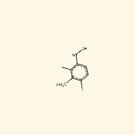 Cc1c(NO)ccc(F)c1C(=O)O